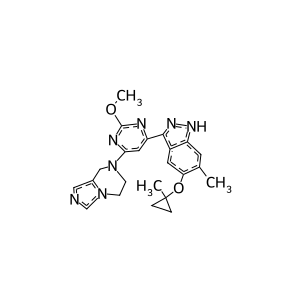 COc1nc(-c2n[nH]c3cc(C)c(OC4(C)CC4)cc23)cc(N2CCn3cncc3C2)n1